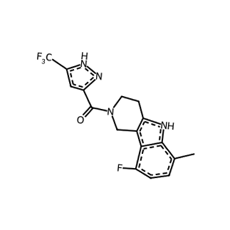 Cc1ccc(F)c2c3c([nH]c12)CCN(C(=O)c1cc(C(F)(F)F)[nH]n1)C3